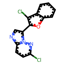 Clc1ccc2ncc(-c3oc4ccccc4c3Cl)n2n1